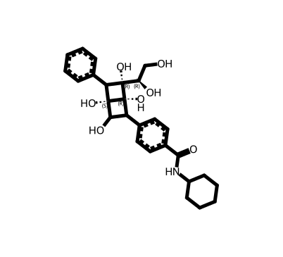 O=C(NC1CCCCC1)c1ccc(C2C(O)[C@@]3(O)C(c4ccccc4)[C@@](O)([C@H](O)CO)[C@@]23O)cc1